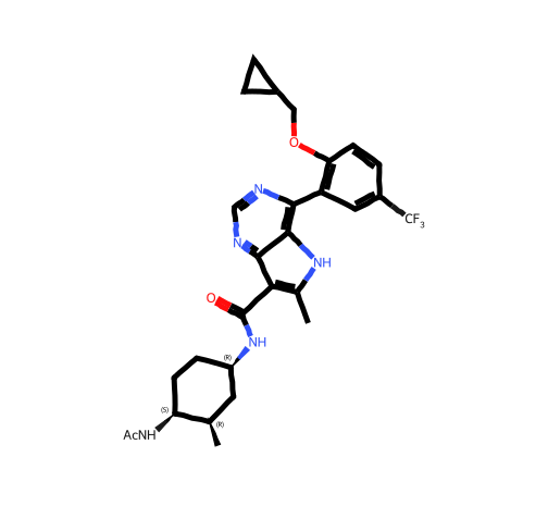 CC(=O)N[C@H]1CC[C@@H](NC(=O)c2c(C)[nH]c3c(-c4cc(C(F)(F)F)ccc4OCC4CC4)ncnc23)C[C@H]1C